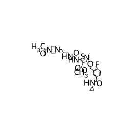 COC(=O)c1c(OCc2cc(C(=O)NC3CC3)ccc2F)nsc1NC(=O)NCCCN1CCN(C(C)=O)CC1